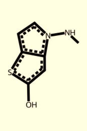 CNn1ccc2sc(O)cc21